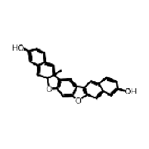 CC12C=c3ccc(O)cc3=CC1Oc1cc3oc4cc5cc(O)ccc5cc4c3cc12